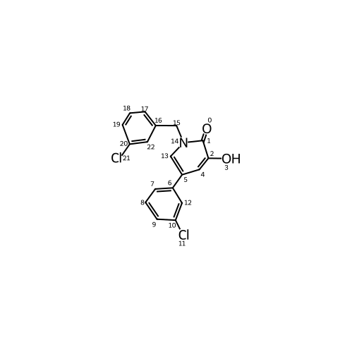 O=c1c(O)cc(-c2cccc(Cl)c2)cn1Cc1cccc(Cl)c1